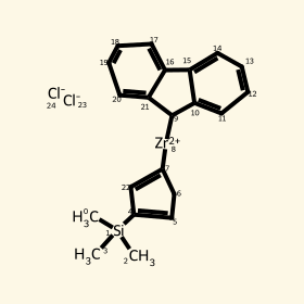 C[Si](C)(C)C1=CC[C]([Zr+2][CH]2c3ccccc3-c3ccccc32)=C1.[Cl-].[Cl-]